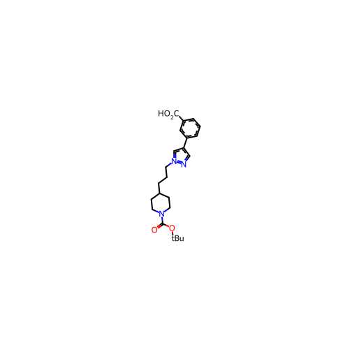 CC(C)(C)OC(=O)N1CCC(CCCn2cc(-c3cccc(C(=O)O)c3)cn2)CC1